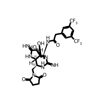 N=C1N[C@H]2[C@H](CN3C(=O)CCC3=O)NC(=N)N3C[C@H](NC(=O)Cc4cc(C(F)(F)F)cc(C(F)(F)F)c4)C(O)(O)[C@]23N1